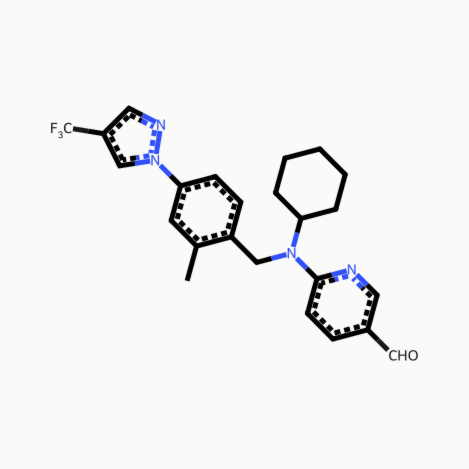 Cc1cc(-n2cc(C(F)(F)F)cn2)ccc1CN(c1ccc(C=O)cn1)C1CCCCC1